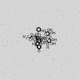 CC(C)C(=O)OCC(=O)[C@@]12O[C@H](C3CCCCC3)O[C@@H]1C[C@H]1[C@@H]3CCC4=CC(=O)C=C[C@]4(C)[C@H]3[C@@H](O)C[C@@]12C.OC[C@H]1O[C@@H](O[C@H]2[C@H](O)[C@@H](O)[C@H](O)O[C@@H]2CO)[C@H](O)[C@@H](O)[C@H]1O